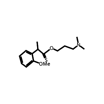 COc1ccccc1C(C)C(=S)OCCCN(C)C